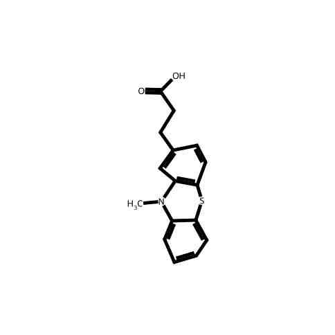 CN1c2ccccc2Sc2ccc(CCC(=O)O)cc21